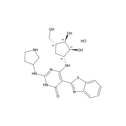 Cl.O=c1[nH]c(NC2CCNC2)nc(N[C@@H]2C[C@H](CO)[C@@H](O)[C@H]2O)c1-c1nc2ccccc2s1